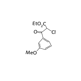 CCOC(=O)C(Cl)C(=O)c1cccc(OC)c1